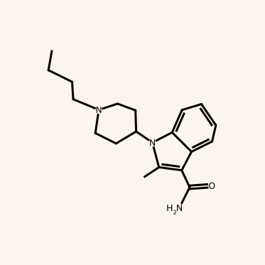 CCCCN1CCC(n2c(C)c(C(N)=O)c3ccccc32)CC1